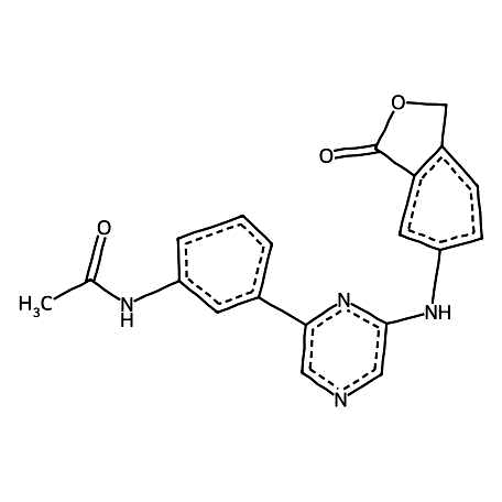 CC(=O)Nc1cccc(-c2cncc(Nc3ccc4c(c3)C(=O)OC4)n2)c1